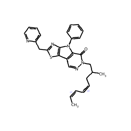 C/C=C\C=C/CC(C)Cn1ncc2c3sc(Cc4ccccn4)nc3n(-c3ccccc3)c2c1=O